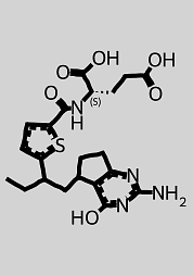 CCC(CC1CCc2nc(N)nc(O)c21)c1ccc(C(=O)N[C@@H](CCC(=O)O)C(=O)O)s1